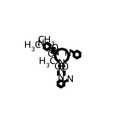 C[C@H]1CN(S(=O)(=O)c2ccc(N(C)C)cc2)CCCN(CC2CCCCC2)CCCN(S(=O)(=O)N2CCN(c3ccccc3C#N)CC2)C1